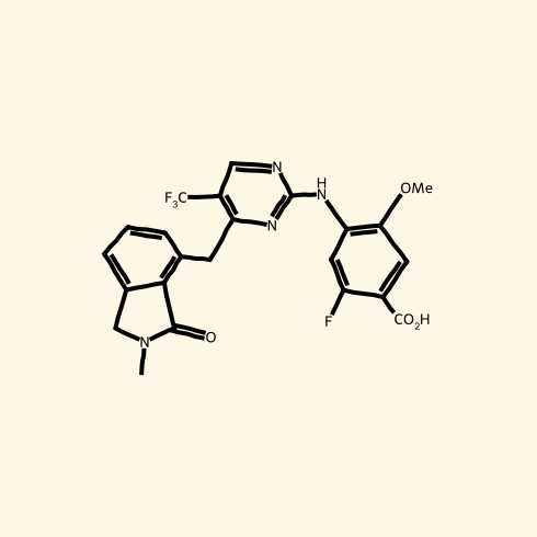 COc1cc(C(=O)O)c(F)cc1Nc1ncc(C(F)(F)F)c(Cc2cccc3c2C(=O)N(C)C3)n1